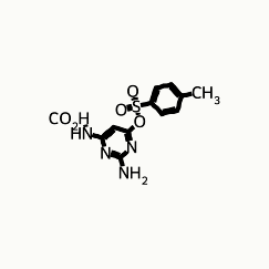 Cc1ccc(S(=O)(=O)Oc2cc(NC(=O)O)nc(N)n2)cc1